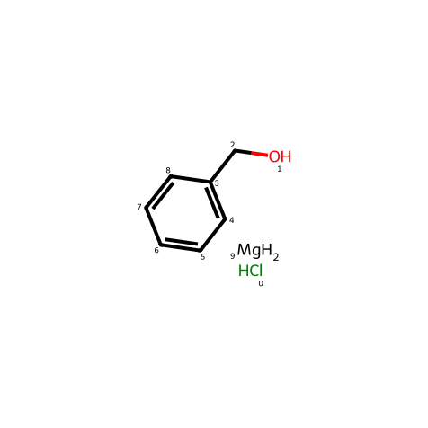 Cl.OCc1ccccc1.[MgH2]